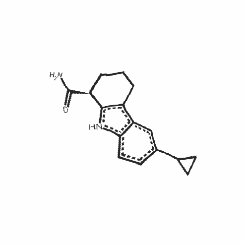 NC(=O)[C@H]1CCCc2c1[nH]c1ccc(C3CC3)cc21